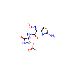 CO/N=C(\C(=O)N[C@@H]1C(=O)N[C@H]1OC(C)=O)c1csc(N)n1